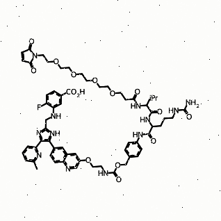 Cc1cccc(-c2nc(CNc3cc(C(=O)O)ccc3F)[nH]c2-c2ccc3ncc(OCCNC(=O)OCc4ccc(NC(=O)C(CCCNC(N)=O)NC(=O)C(NC(=O)CCOCCOCCOCCOCCN5C(=O)C=CC5=O)C(C)C)cc4)cc3c2)n1